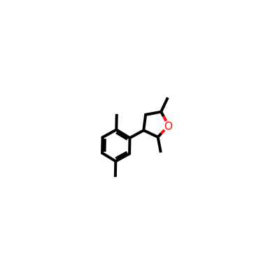 Cc1ccc(C)c(C2CC(C)OC2C)c1